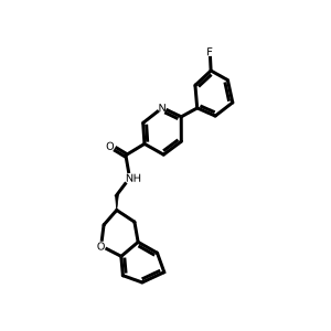 O=C(NC[C@@H]1COc2ccccc2C1)c1ccc(-c2cccc(F)c2)nc1